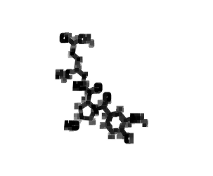 C/C(Cl)=C\C=C(/C)CNC(=O)[C@@H]1C[C@@H](O)CN1C(=O)c1ccc(Cl)c(N)c1